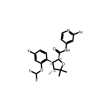 CC(=O)c1cc(NC(=O)[C@H]2OC(C)(C)[C@H](C)[C@H]2c2ccc(F)cc2OC(F)F)ccn1